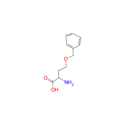 NC(CCOCc1ccccc1)C(=O)O